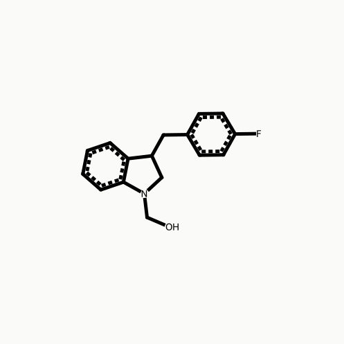 OCN1CC(Cc2ccc(F)cc2)c2ccccc21